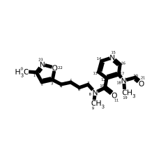 Cc1cc(CCCCN(C)C(=O)c2ccncc2N(C)C=O)on1